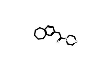 S=C(Cc1ccc2c(c1)CCCCC2)N1CCOCC1